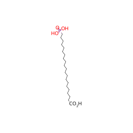 O=C(O)CCCCCCCCCCCCCCCCCCCCP(=O)(O)O